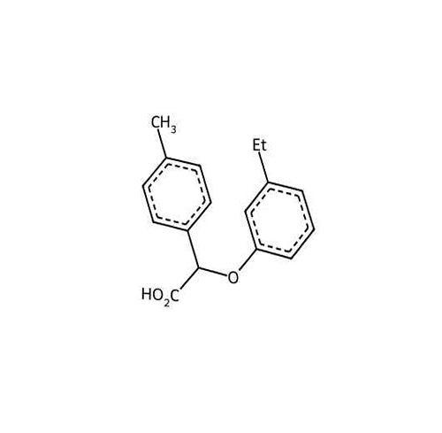 CCc1cccc(OC(C(=O)O)c2ccc(C)cc2)c1